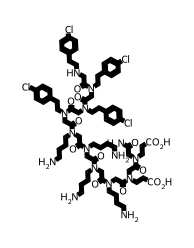 NCCCCN(CC(=O)N(CCC(=O)O)CC(=O)N(CCC(=O)O)CC(N)=O)C(=O)CN(CCCCN)C(=O)CN(CCCCN)C(=O)CN(CCCCN)C(=O)CN(CCc1ccc(Cl)cc1)C(=O)CN(CCc1ccc(Cl)cc1)C(=O)CN(CCc1ccc(Cl)cc1)C(=O)CNCCc1ccc(Cl)cc1